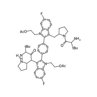 CC(=O)OCCn1c(-c2ccc(-c3c(C(C(=O)C(N)C(C)(C)C)C4CCCN4)c4ccc(F)cc4n3CCOC(C)=O)cc2)c(CC2CCCN2C(=O)C(N)C(C)(C)C)c2ccc(F)cc21